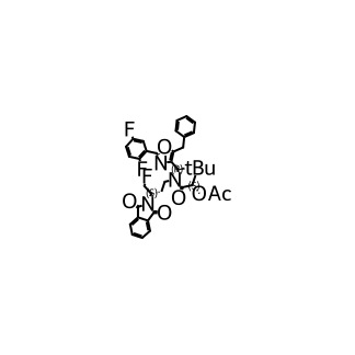 CC(=O)O[C@@H](C)C(=O)N(CC[C@@H](CF)N1C(=O)c2ccccc2C1=O)[C@@H](c1nc(-c2cc(F)ccc2F)oc1Cc1ccccc1)C(C)(C)C